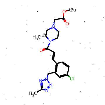 Cc1nnn(Cc2cc(Cl)ccc2C=CC(=O)N2CCN(CC(=O)OC(C)(C)C)C[C@H]2C)n1